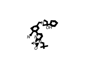 Cn1c(=O)n(CC(C)(C)C)c2ccc(-c3cc(CN4CCC(O)(c5ccccc5)C4)ccc3C#N)nc21